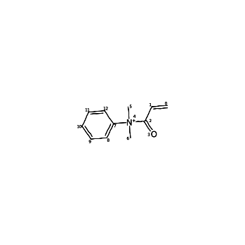 C=CC(=O)[N+](C)(C)c1ccccc1